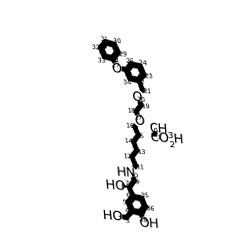 CC(=O)O.OCc1cc([C@@H](O)CNCCCCCCOCCOCc2cccc(Oc3ccccc3)c2)ccc1O